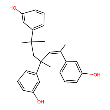 CC(=CC(C)(CC(C)(C)c1cccc(O)c1)c1cccc(O)c1)c1cccc(O)c1